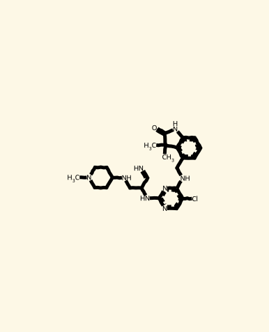 CN1CCC(NCC(C=N)Nc2ncc(Cl)c(NCc3cccc4c3C(C)(C)C(=O)N4)n2)CC1